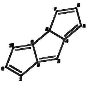 C1=CC2=CC3=CC=CC3C2=C1